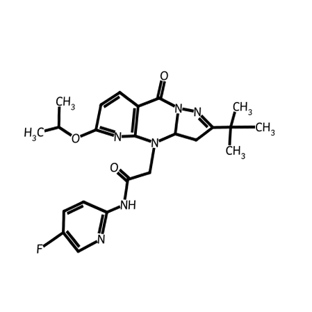 CC(C)Oc1ccc2c(n1)N(CC(=O)Nc1ccc(F)cn1)C1CC(C(C)(C)C)=NN1C2=O